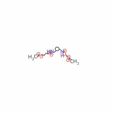 C=CC(=O)OCCCCOC(=O)NCC1CCCC(CNC(=O)OCCOC(=O)C=C)C1